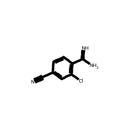 N#Cc1ccc(C(=N)N)c(Cl)c1